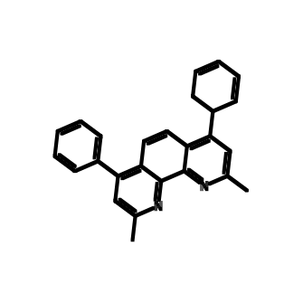 Cc1cc(-c2ccccc2)c2ccc3c(C4C=CC=CC4)cc(C)nc3c2n1